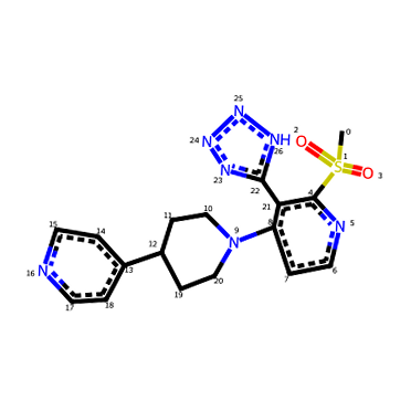 CS(=O)(=O)c1nccc(N2CCC(c3ccncc3)CC2)c1-c1nnn[nH]1